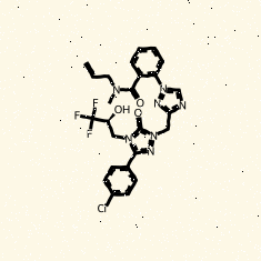 C=CCN(C)C(=O)c1ccccc1-n1cnc(Cn2nc(-c3ccc(Cl)cc3)n(C[C@H](O)C(F)(F)F)c2=O)n1